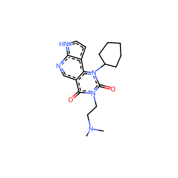 CN(C)CCn1c(=O)c2cnc3[nH]ccc3c2n(C2CCCCC2)c1=O